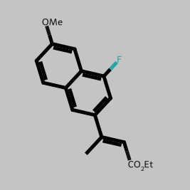 CCOC(=O)C=C(C)c1cc(F)c2cc(OC)ccc2c1